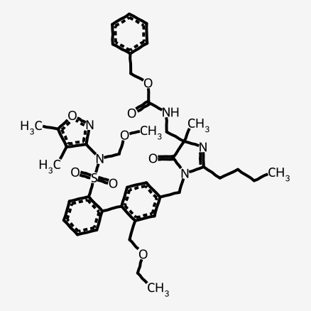 CCCCC1=NC(C)(CNC(=O)OCc2ccccc2)C(=O)N1Cc1ccc(-c2ccccc2S(=O)(=O)N(COC)c2noc(C)c2C)c(COCC)c1